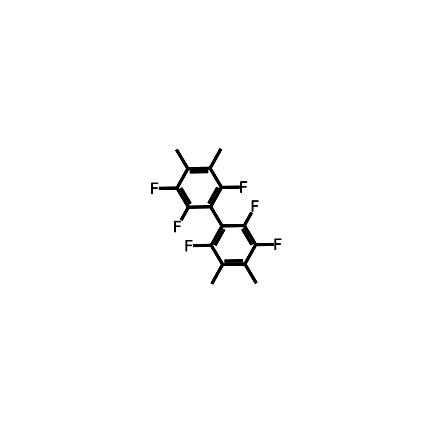 Cc1c(C)c(F)c(-c2c(F)c(C)c(C)c(F)c2F)c(F)c1F